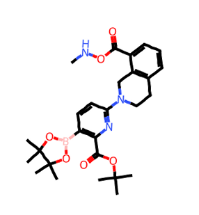 CNOC(=O)c1cccc2c1CN(c1ccc(B3OC(C)(C)C(C)(C)O3)c(C(=O)OC(C)(C)C)n1)CC2